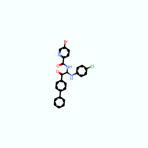 O=C(NC(Nc1ccc(Cl)cc1)C(=O)c1ccc(-c2ccccc2)cc1)c1ccc(Br)cn1